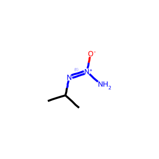 CC(C)/N=[N+](\N)[O-]